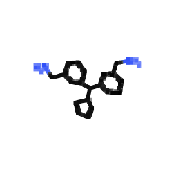 NCc1cccc(C([C]2C=CC=C2)c2cccc(CN)c2)c1